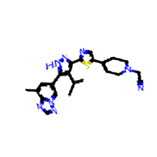 Cc1cc(-c2[nH]nc(-c3ncc(C4CCN(CC#N)CC4)s3)c2C(C)C)cn2ncnc12